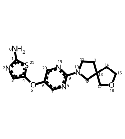 Nc1ncc(Oc2cnc(N3CCC4(CCOC4)C3)nc2)s1